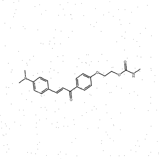 CNC(=O)OCCOc1ccc(C(=O)C=Cc2ccc(N(C)C)cc2)cc1